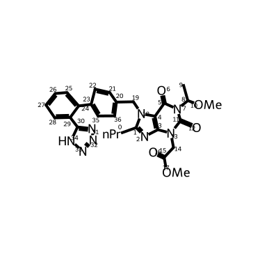 CCCc1nc2c(c(=O)n(C(C)OC)c(=O)n2CC(=O)OC)n1Cc1ccc(-c2ccccc2-c2nnn[nH]2)cc1